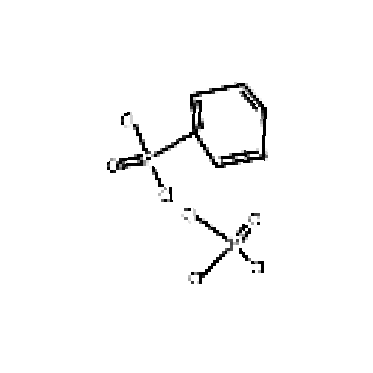 O=P(Cl)(Cl)Cl.O=P(Cl)(Cl)c1ccccc1